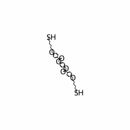 O=C(Oc1ccc(OC(=O)c2ccc(OCCCCCCS)cc2)cc1)c1ccc(OCCCCCCS)cc1